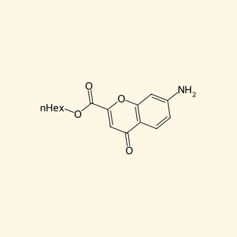 CCCCCCOC(=O)c1cc(=O)c2ccc(N)cc2o1